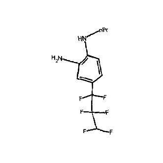 CCCNc1ccc(C(F)(F)C(F)(F)C(F)F)cc1N